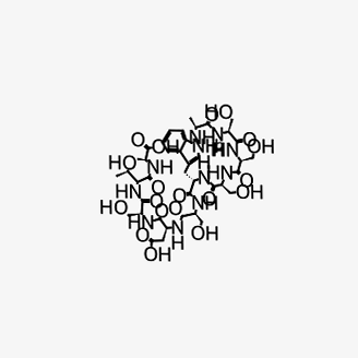 C[C@H](N)C(=O)N[C@@H](CO)C(=O)N[C@@H](CO)C(=O)N[C@@H](CO)C(=O)N[C@@H](Cc1c[nH]c2ccccc12)C(=O)N[C@@H](CO)C(=O)N[C@@H](CC(=O)O)C(=O)N[C@@H](CO)C(=O)N[C@H](C(=O)N[C@@H](C)C(=O)O)[C@@H](C)O